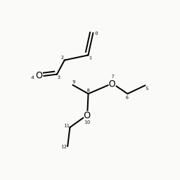 C=CCC=O.CCOC(C)OCC